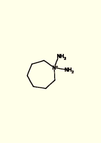 N[N+]1(N)CCCCCC1